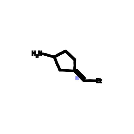 CC/C=C1\CCC(N)C1